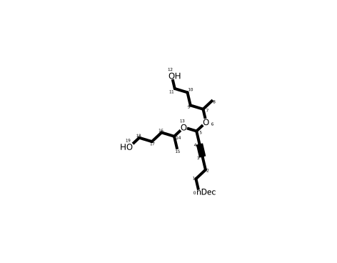 CCCCCCCCCCCCC#CC(OC(C)CCCO)OC(C)CCCO